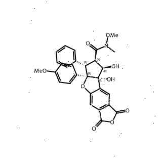 COc1ccc([C@@]23Oc4cc5c(cc4[C@]2(O)[C@H](O)[C@H](C(=O)N(C)OC)[C@H]3c2ccccc2)C(=O)OC5=O)cc1